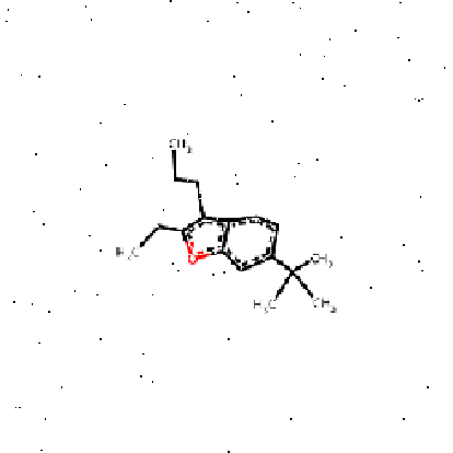 CCCc1c(CC)oc2cc(C(C)(C)C)ccc12